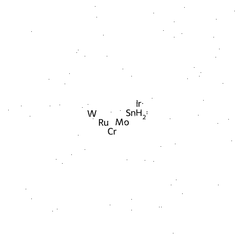 [Cr].[Ir].[Mo].[Ru].[SnH2].[W]